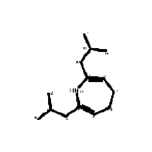 CC(C)CC1=CCCC=C(CC(C)C)N1